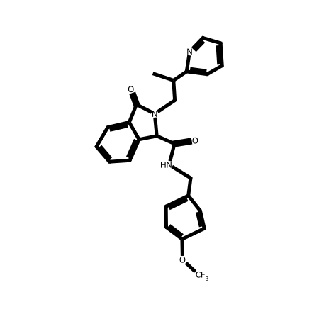 CC(CN1C(=O)c2ccccc2C1C(=O)NCc1ccc(OC(F)(F)F)cc1)c1ccccn1